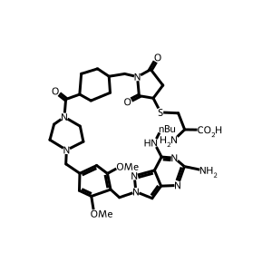 CCCCNc1nc(N)nc2cn(Cc3c(OC)cc(CN4CCN(C(=O)C5CCC(CN6C(=O)CC(SCC(N)C(=O)O)C6=O)CC5)CC4)cc3OC)nc12